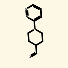 O=CC1CCN(c2cccnn2)CC1